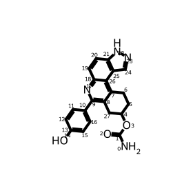 NC(=O)OC1CCc2c(c(-c3ccc(O)cc3)nc3ccc4[nH]ncc4c23)C1